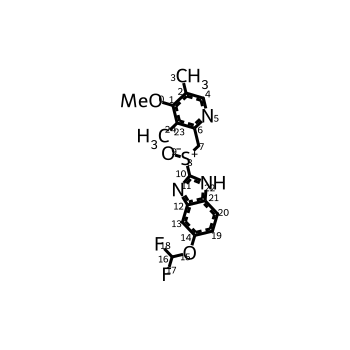 COc1c(C)cnc(C[S+]([O-])c2nc3cc(OC(F)F)ccc3[nH]2)c1C